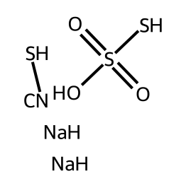 N#CS.O=S(=O)(O)S.[NaH].[NaH]